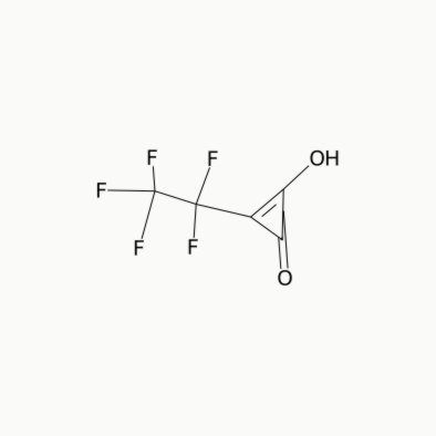 O=c1c(O)c1C(F)(F)C(F)(F)F